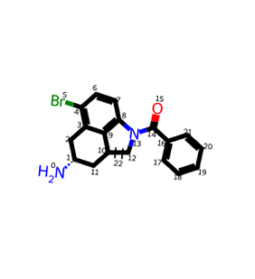 N[C@@H]1Cc2c(Br)ccc3c2[C@H](C1)CN3C(=O)c1ccccc1